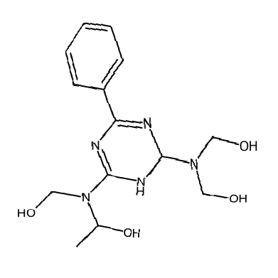 CC(O)N(CO)C1=NC(c2ccccc2)=NC(N(CO)CO)N1